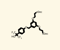 CCCCCCCCCCCCOc1cc(COc2ccc(C(O)(C(F)(F)F)C(F)(F)F)cc2)cc(OCCCCCCCCCCCC)c1